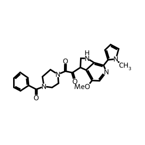 COc1cnc(-c2cccn2C)c2c1C(C(=O)C(=O)N1CCN(C(=O)c3ccccc3)CC1)CN2